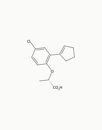 C[C@H](Oc1ccc(Cl)cc1C1=CCCC1)C(=O)O